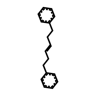 C(=CCCc1ccccc1)CCc1ccccc1